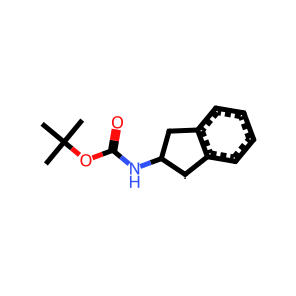 CC(C)(C)OC(=O)NC1[CH]c2ccccc2C1